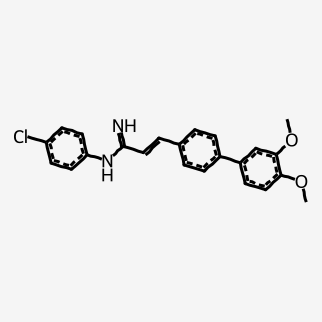 COc1ccc(-c2ccc(/C=C/C(=N)Nc3ccc(Cl)cc3)cc2)cc1OC